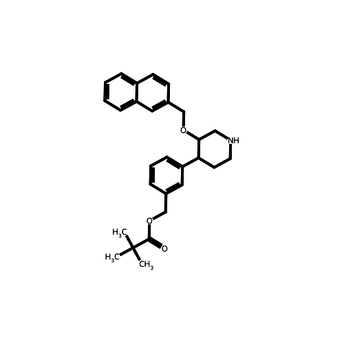 CC(C)(C)C(=O)OCc1cccc(C2CCNCC2OCc2ccc3ccccc3c2)c1